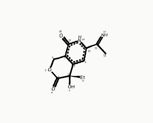 CC[C@@]1(O)C(=O)OCc2c1cc(C(C)=N)[nH]c2=O